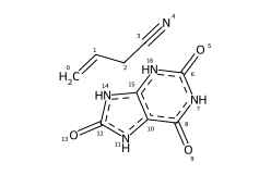 C=CCC#N.O=c1[nH]c(=O)c2[nH]c(=O)[nH]c2[nH]1